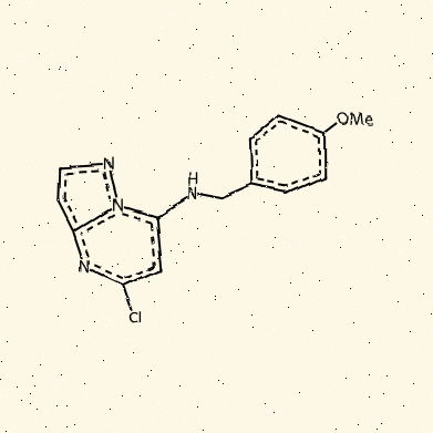 COc1ccc(CNc2cc(Cl)nc3ccnn23)cc1